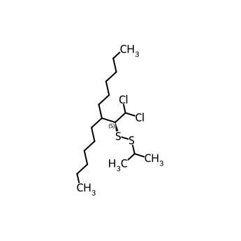 CCCCCCC(CCCCCC)[C@H](SSC(C)C)C(Cl)Cl